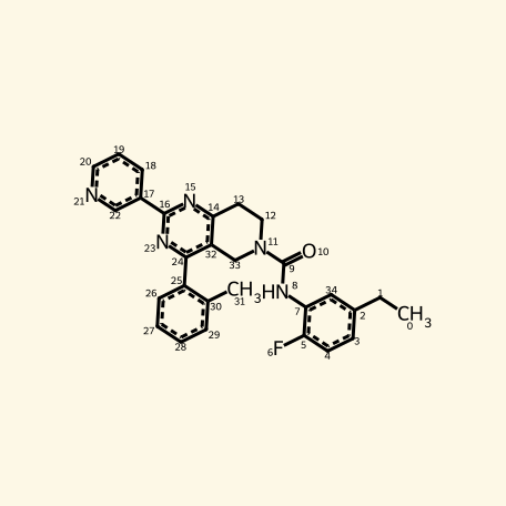 CCc1ccc(F)c(NC(=O)N2CCc3nc(-c4cccnc4)nc(-c4ccccc4C)c3C2)c1